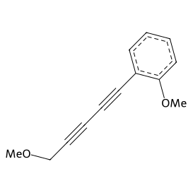 COCC#CC#Cc1ccccc1OC